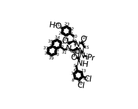 CC(C)N(C(=O)NCc1ccc(Cl)c(Cl)c1)N1CC(=O)N2[C@@H](Cc3ccc(O)cc3)C(=O)N(Cc3cccc4ccccc34)C[C@@H]21